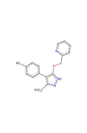 CCOC(=O)c1n[nH]c(OCc2ccccn2)c1-c1ccc(C#N)cc1